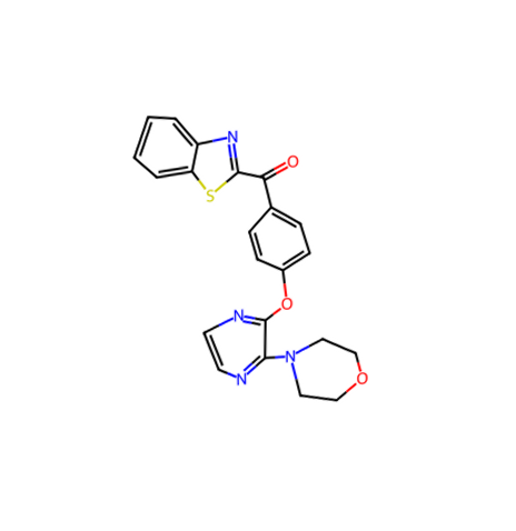 O=C(c1ccc(Oc2nccnc2N2CCOCC2)cc1)c1nc2ccccc2s1